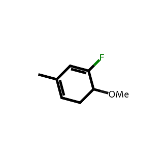 COC1CC=C(C)C=C1F